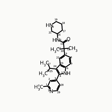 Cc1cc(-c2[nH]c3ccc(C(C)(C)C(=O)NC4CCCNC4)cc3c2C(C)C)ccn1